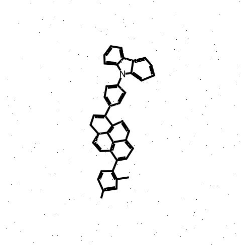 Cc1ccc(-c2ccc3ccc4c5c3c2C=CC5(C)CC=C4c2ccc(-n3c4ccccc4c4ccccc43)cc2)c(C)c1